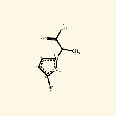 CC(C(=O)O)n1ccc(Br)n1